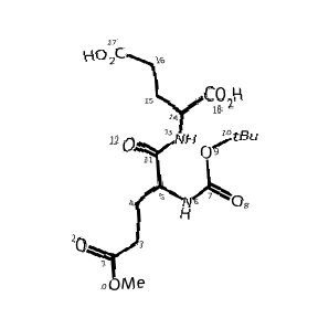 COC(=O)CCC(NC(=O)OC(C)(C)C)C(=O)NC(CCC(=O)O)C(=O)O